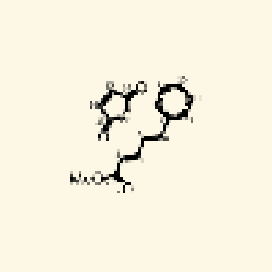 COC(=O)C=CC=Cc1ccccc1.O=C1C=CC(=O)O1